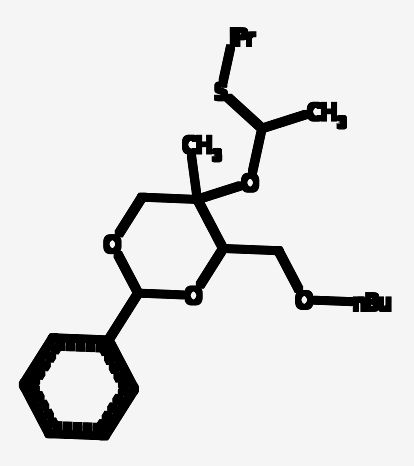 CCCCOCC1OC(c2ccccc2)OCC1(C)OC(C)SC(C)C